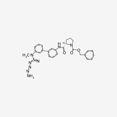 CN(c1cccc(-c2cccc(NC(=O)[C@@H]3CCCN3C(=O)OCc3ccccc3)c2)c1)S(#N)=NN=NN